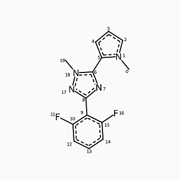 Cn1cccc1-c1nc(-c2c(F)cccc2F)nn1C